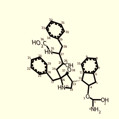 NC(O)OC1Cc2ccccc2[C@H]1C1CNC(Cc2ccccc2)(CC(O)C(Cc2ccccc2)NC(=O)O)C1=O